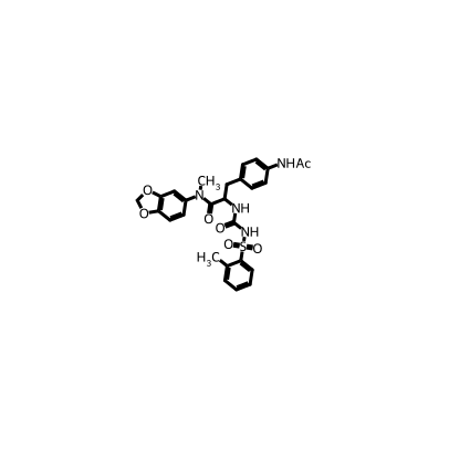 CC(=O)Nc1ccc(CC(NC(=O)NS(=O)(=O)c2ccccc2C)C(=O)N(C)c2ccc3c(c2)OCO3)cc1